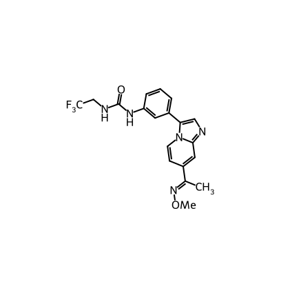 CO/N=C(\C)c1ccn2c(-c3cccc(NC(=O)NCC(F)(F)F)c3)cnc2c1